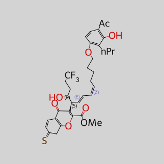 CCCc1c(OCCCC/C=C\C=C\[C@@H](c2c(C(=O)OC)oc3c(c2=O)C=CC(=S)C3)[C@H](O)CCC(F)(F)F)ccc(C(C)=O)c1O